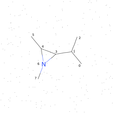 CC(C)C1C(C)N1C